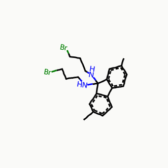 Cc1ccc2c(c1)C(NCCCBr)(NCCCBr)c1cc(C)ccc1-2